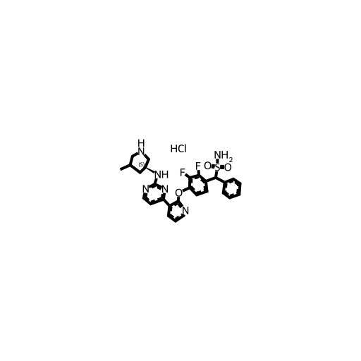 CC1CNC[C@@H](Nc2nccc(-c3cccnc3Oc3ccc(C(c4ccccc4)S(N)(=O)=O)c(F)c3F)n2)C1.Cl